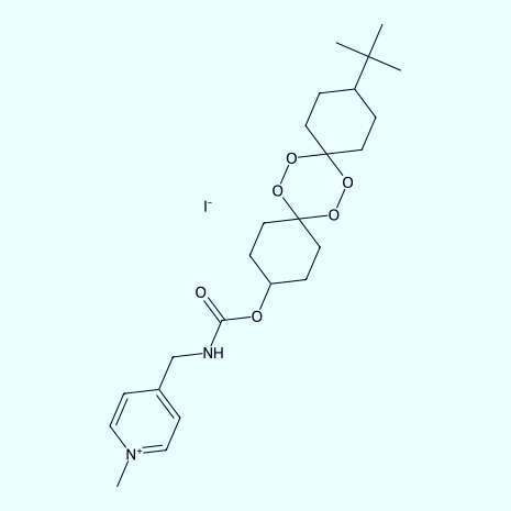 C[n+]1ccc(CNC(=O)OC2CCC3(CC2)OOC2(CCC(C(C)(C)C)CC2)OO3)cc1.[I-]